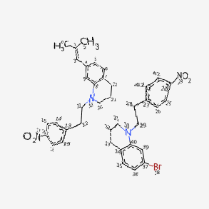 CC(C)=Cc1ccc2c(c1)N(CCc1ccc([N+](=O)[O-])cc1)CCC2.O=[N+]([O-])c1ccc(CCN2CCCc3ccc(Br)cc32)cc1